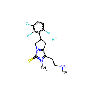 Cn1c(CCNC(C)(C)C)c2n(c1=S)CC(c1c(F)ccc(F)c1F)C2.F